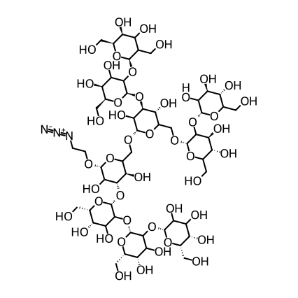 [N-]=[N+]=NCCO[C@@H]1OC(CO[C@H]2OC(CO[C@H]3OC(CO)[C@@H](O)[C@H](O)C3O[C@H]3OC(CO)[C@@H](O)[C@H](O)C3O)[C@@H](O)[C@H](O[C@H]3O[C@@H](CO)[C@@H](O)C(O)C3O[C@H]3O[C@@H](CO)[C@@H](O)C(O)C3CO)C2O)[C@@H](O)[C@H](O[C@H]2O[C@@H](CO)[C@@H](O)C(O)C2O[C@H]2O[C@@H](CO)[C@@H](O)C(O)C2O[C@H]2O[C@@H](CO)[C@@H](O)C(O)C2O)C1O